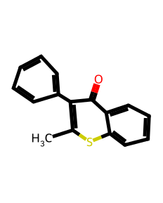 Cc1sc2ccccc2c(=O)c1-c1ccccc1